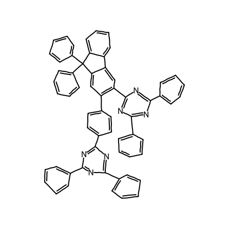 c1ccc(-c2nc(-c3ccccc3)nc(-c3ccc(-c4cc5c(cc4-c4nc(-c6ccccc6)nc(-c6ccccc6)n4)-c4ccccc4C5(c4ccccc4)c4ccccc4)cc3)n2)cc1